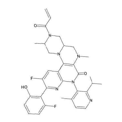 C=CC(=O)N1CC2CN(C)c3c(c4cc(F)c(-c5c(O)cccc5F)nc4n(-c4c(C)ccnc4C(C)C)c3=O)N2CC1C